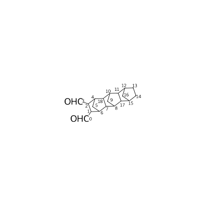 O=CC1C(C=O)C2CC1C1C3CC(C4C5CCC(C5)C34)C21